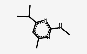 CNc1nc(C)cc(C(C)C)n1